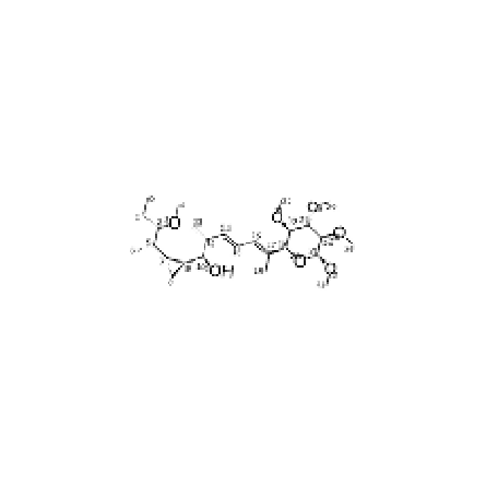 CC[C@H](OC)[C@@H](C)[C@H]1C[C@@H]1[C@H](O)[C@H](C)/C=C/C=C(\C)[C@@H]1O[C@H](OC)[C@H](OC)[C@@H](OC)[C@@H]1OC